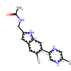 CC(=O)NCc1cc2cc(Cl)c(-c3cnc(C)cn3)cc2[nH]1